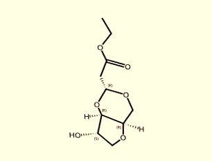 CCOC(=O)C[C@@H]1OC[C@H]2OC[C@H](O)[C@H]2O1